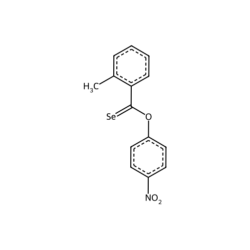 Cc1ccccc1C(=[Se])Oc1ccc([N+](=O)[O-])cc1